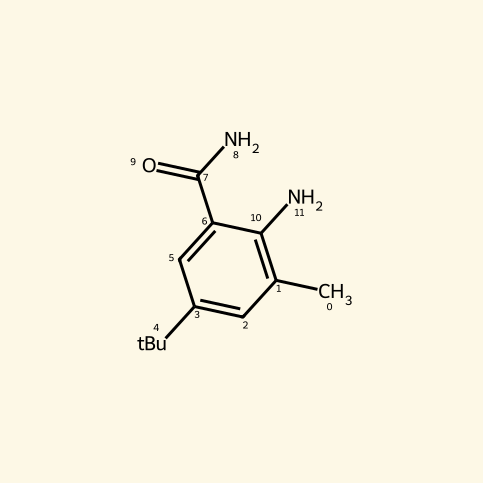 Cc1cc(C(C)(C)C)cc(C(N)=O)c1N